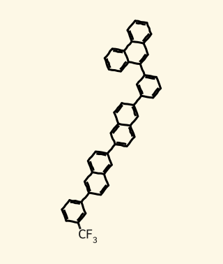 FC(F)(F)c1cccc(-c2ccc3cc(-c4ccc5cc(-c6cccc(-c7cc8ccccc8c8ccccc78)c6)ccc5c4)ccc3c2)c1